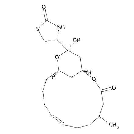 CC1CC/C=C\CCC[C@@H]2C[C@H](C[C@](O)([C@@H]3CSC(=O)N3)O2)OC(=O)C1